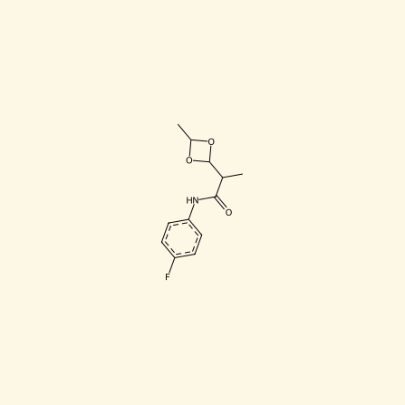 CC1OC(C(C)C(=O)Nc2ccc(F)cc2)O1